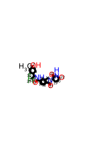 CC1(O)CCC([C@@H](NC(=O)c2ccc3c(c2)CN([C@@H]2CCC(=O)NC2=O)C3=O)C(F)(F)F)CC1